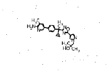 Cc1cc(-c2ccc([C@](C)(c3noc(-c4cnn(CC(C)(C)O)c4)n3)C3CC3)cc2)cnc1N